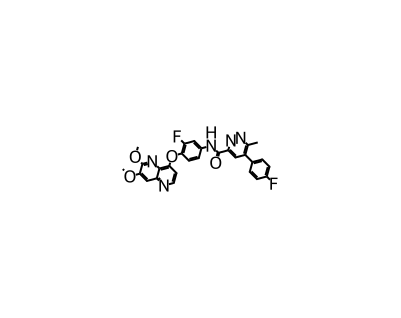 COc1cc2nccc(Oc3ccc(NC(=O)c4cc(-c5ccc(F)cc5)c(C)nn4)cc3F)c2nc1OC